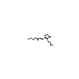 CCCCCC(=O)C=CC1=C(CCC(=O)O)C(=O)CC1O